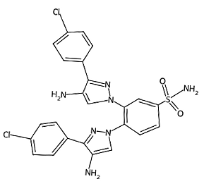 Nc1cn(-c2ccc(S(N)(=O)=O)cc2-n2cc(N)c(-c3ccc(Cl)cc3)n2)nc1-c1ccc(Cl)cc1